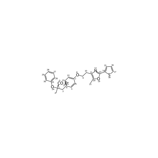 CCOC(=O)[C@](C)(Cc1ccc(OCCc2nc(-c3cccs3)oc2C)cc1)Oc1ccccc1